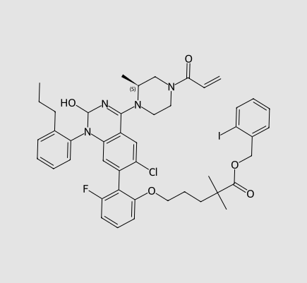 C=CC(=O)N1CCN(C2=NC(O)N(c3ccccc3CCC)c3cc(-c4c(F)cccc4OCCCC(C)(C)C(=O)OCc4ccccc4I)c(Cl)cc32)[C@@H](C)C1